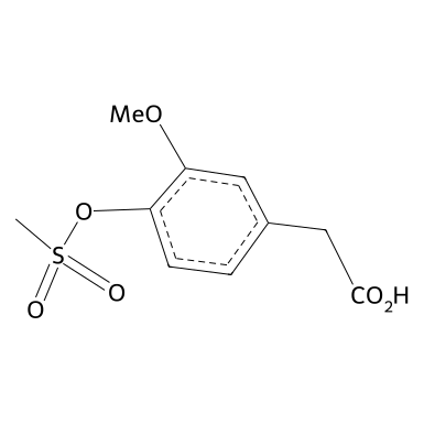 COc1cc(CC(=O)O)ccc1OS(C)(=O)=O